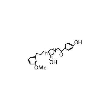 COc1cccc(CCC[C@@H]2CN(CC(=O)c3ccc(O)cc3)C[C@@H]2CO)c1